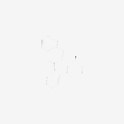 O=C(c1ccccc1)N(Cc1ccccc1)[C@H]1COCC[C@@H]1O